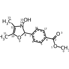 COC(=O)c1ccc(C2OC(C)=C(C)N2O)cc1